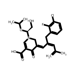 C=C(C)/C=C(\C=C1/CN([C@H](CO)OC(C)C)C=C(C(=O)O)C1=O)Cc1cccc(Cl)c1F